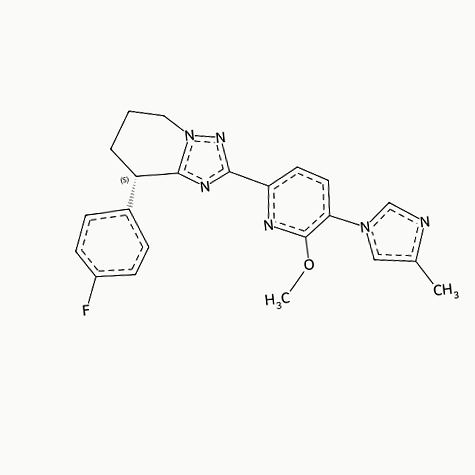 COc1nc(-c2nc3n(n2)CCC[C@H]3c2ccc(F)cc2)ccc1-n1cnc(C)c1